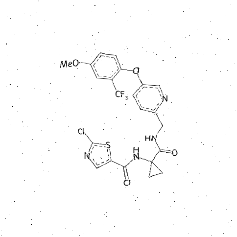 COc1ccc(Oc2ccc(CNC(=O)C3(NC(=O)c4cnc(Cl)s4)CC3)nc2)c(C(F)(F)F)c1